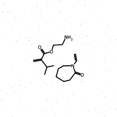 C=C(C(=O)OCCN)C(C)C.C=CN1CCCCCC1=O